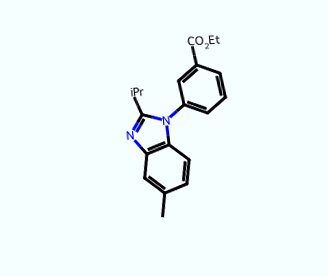 CCOC(=O)c1cccc(-n2c(C(C)C)nc3cc(C)ccc32)c1